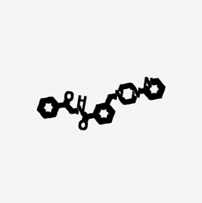 O=C(CNC(=O)c1cccc(CN2CCN(c3ccccn3)CC2)c1)c1ccccc1